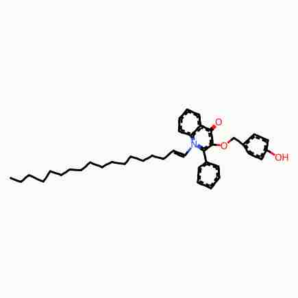 CCCCCCCCCCCCCCCCC=Cn1c(-c2ccccc2)c(OCc2ccc(O)cc2)c(=O)c2ccccc21